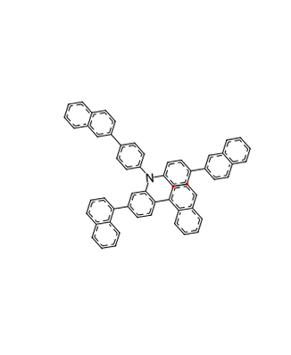 c1ccc2cc(-c3ccc(N(c4ccc(-c5ccc6ccccc6c5)cc4)c4cc(-c5cccc6ccccc56)ccc4-c4cccc5ccccc45)cc3)ccc2c1